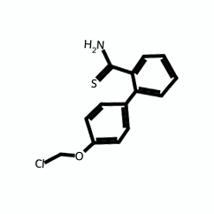 NC(=S)c1ccccc1-c1ccc(OCCl)cc1